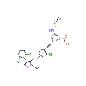 O=C(O)c1cc(C#Cc2ccc(OCc3c(-c4c(Cl)cccc4Cl)noc3C3CC3)cc2Cl)cc(NOCC2CC2)c1